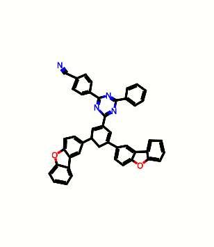 N#Cc1ccc(-c2nc(C3=CC(c4ccc5oc6ccccc6c5c4)CC(c4ccc5oc6ccccc6c5c4)=C3)nc(-c3ccccc3)n2)cc1